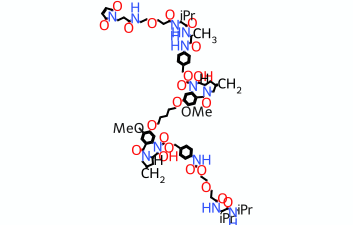 C=C1C[C@H]2[C@H](O)N(C(=O)OCc3ccc(NC(=O)OCCOCCC(=O)N[C@H](C(=O)NC(C)C)C(C)C)cc3)c3cc(OCCCCCOc4cc5c(cc4OC)C(=O)N4CC(=C)C[C@H]4[C@H](O)N5C(=O)OCc4ccc(NC(=O)[C@H](C)NC(=O)[C@@H](NC(=O)CCOCCNC(=O)CCN5C(=O)C=CC5=O)C(C)C)cc4)c(OC)cc3C(=O)N2C1